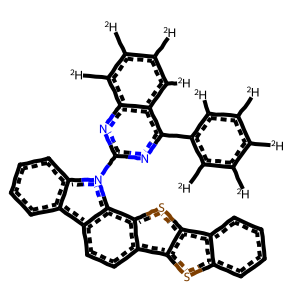 [2H]c1c([2H])c([2H])c(-c2nc(-n3c4ccccc4c4ccc5c6sc7ccccc7c6sc5c43)nc3c([2H])c([2H])c([2H])c([2H])c23)c([2H])c1[2H]